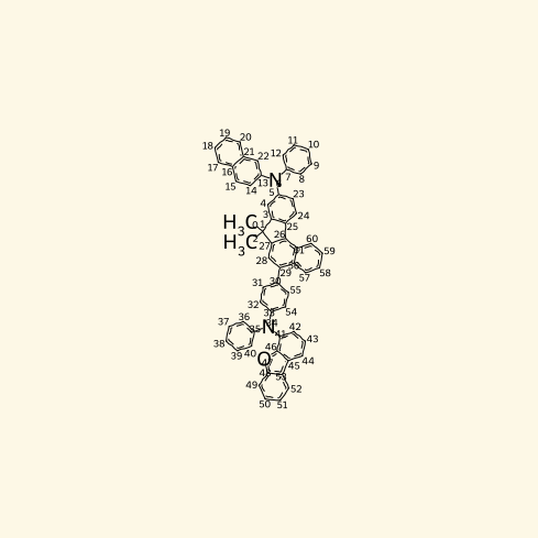 CC1(C)c2cc(N(c3ccccc3)c3ccc4ccccc4c3)ccc2-c2c1cc(-c1ccc(N(c3ccccc3)c3cccc4c3oc3ccccc34)cc1)c1ccccc21